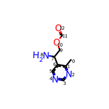 Cc1ncncc1C(N)COC=O